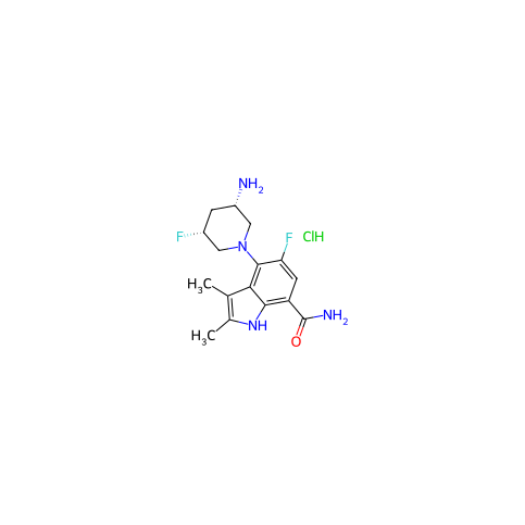 Cc1[nH]c2c(C(N)=O)cc(F)c(N3C[C@@H](N)C[C@@H](F)C3)c2c1C.Cl